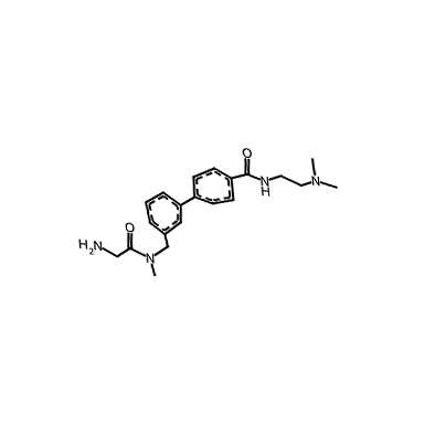 CN(C)CCNC(=O)c1ccc(-c2cccc(CN(C)C(=O)CN)c2)cc1